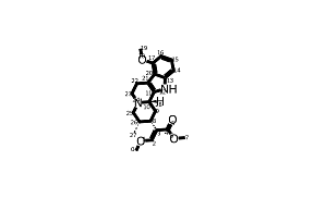 CO/C=C(/C(=O)OC)[C@H]1C[C@H]2c3[nH]c4cccc(OC)c4c3CCN2C[C@H]1C